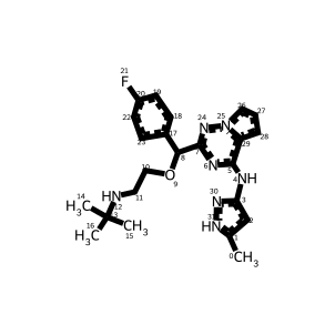 Cc1cc(Nc2nc(C(OCCNC(C)(C)C)c3ccc(F)cc3)nn3cccc23)n[nH]1